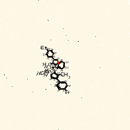 CCc1ccc(C2=CC[C]([Zr]([CH3])(=[SiH2])([C]3=C(C)C(c4ccc(CC)cc4)=CC3)[c]3ccccc3)=C2C)cc1.Cl.Cl